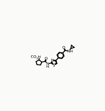 O=C(NC1CC1)c1ccc(-c2csc(NC(=O)C3CCCC3C(=O)O)n2)cc1